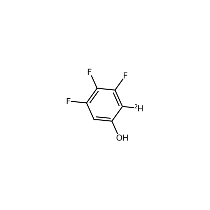 [2H]c1c(O)cc(F)c(F)c1F